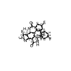 Cn1nc2c3c(c(-c4c(C(N)=O)cc(F)cc4C(F)(F)F)cc2c1F)C(c1cc(F)ccc1Cl)NC3=O